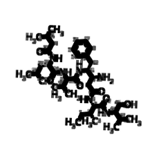 CC[C@H](C)[C@H](NC(=O)C[C@H](N)[C@H](Cc1ccccc1)NC(=O)C(NC(=O)[C@H](CC(C)C)NC(=O)CC(C)C)C(C)C)C(=O)NC(CO)C(C)C